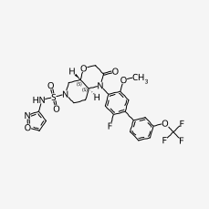 COc1cc(-c2cccc(OC(F)(F)F)c2)c(F)cc1N1C(=O)CO[C@H]2CN(S(=O)(=O)Nc3ccon3)CC[C@@H]21